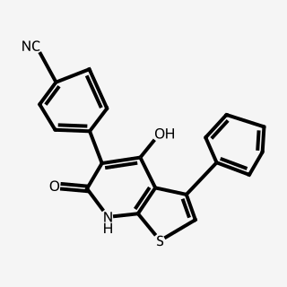 N#Cc1ccc(-c2c(O)c3c(-c4ccccc4)csc3[nH]c2=O)cc1